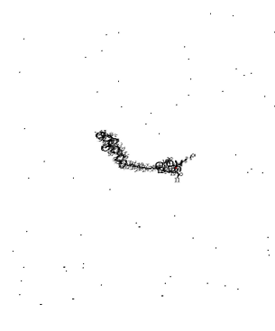 CCCCCCCC1OC(CC)CC(CC2CC(CC(C)O)OC(CCCCCCCCCCOc3ccc(-c4ccc(C(=O)Oc5ccc(OC)cc5)cc4)cc3)O2)O1